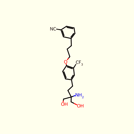 N#Cc1cccc(CCCOc2ccc(CCC(N)(CO)CO)cc2C(F)(F)F)c1